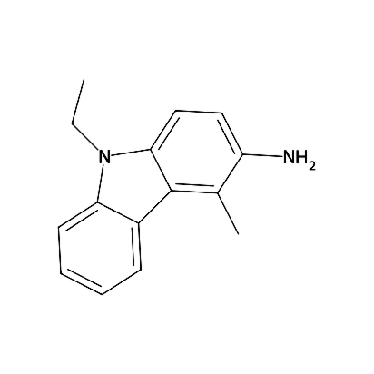 CCn1c2ccccc2c2c(C)c(N)ccc21